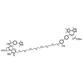 COC(=O)C[C@@H]1N=C(c2ccc(-c3ccc(OCCOCCOCCOCCOCCOCCOCCOCC(=O)N[C@H](C(=O)N4C[C@H](O)C[C@H]4C(=O)N[C@@H](C)c4ccc(-c5scnc5C)cc4)C(C)(C)C)c(C#N)c3)cc2)c2c(sc(C)c2C)-n2c(C)nnc21